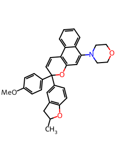 COc1ccc(C2(c3ccc4c(c3)CC(C)O4)C=Cc3c(cc(N4CCOCC4)c4ccccc34)O2)cc1